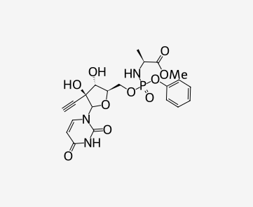 C#C[C@@]1(O)C(n2ccc(=O)[nH]c2=O)O[C@H](COP(=O)(N[C@@H](C)C(=O)OC)Oc2ccccc2)[C@H]1O